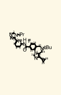 CC(C)n1cnnc1-c1cccc(NC(=O)c2cc3c(cc2F)CN(C(C)(C)C)Cc2c(C4CC4)ncn2-3)n1